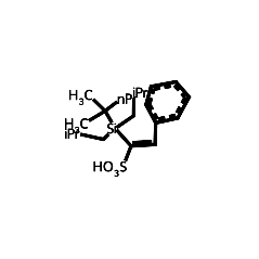 CCCC(C)(C)[Si](CC(C)C)(CC(C)C)C(=Cc1ccccc1)S(=O)(=O)O